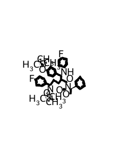 C[Si](C)(C)O/N=C(/CCC(C(=O)N1C(=O)OC[C@@H]1c1ccccc1)C(Nc1ccc(F)cc1)c1ccc(O[Si](C)(C)C)cc1)c1ccc(F)cc1